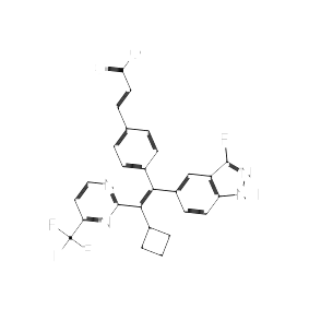 O=C(O)/C=C/c1ccc(/C(=C(\c2nccc(C(F)(F)F)n2)C2CCC2)c2ccc3[nH]nc(F)c3c2)cc1